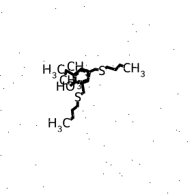 CCCCSCc1cc(CSCCCC)c(O)c(C(C)(C)C)c1